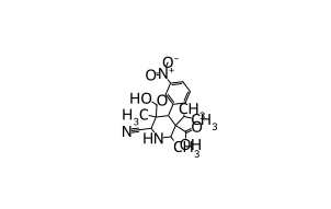 CC(C)C1(C(=O)O)C(C)NC(C#N)C(C)(C(=O)O)C1c1cccc([N+](=O)[O-])c1